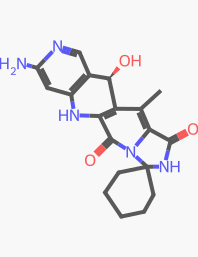 Cc1c2c(c(=O)n3c1C(=O)NC31CCCCC1)Nc1cc(N)ncc1[C@H]2O